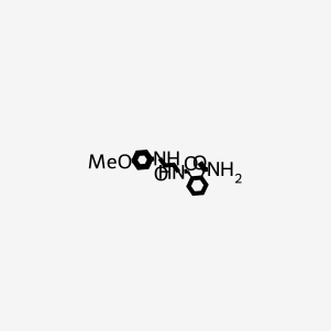 COc1ccc(NC(=O)CNC(=O)[C@@H]2CCCC[C@@H]2C(N)=O)cc1